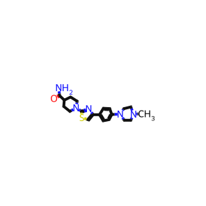 CN1CCN(c2ccc(-c3csc(N4CCC(C(N)=O)CC4)n3)cc2)CC1